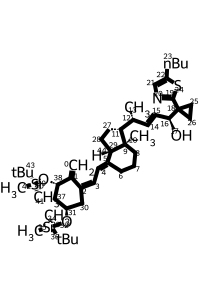 C=C1/C(=C\C=C2/CCC[C@]3(C)[C@@H]([C@H](C)/C=C/[C@H](O)C4(c5ncc(CCCC)s5)CC4)CC[C@@H]23)C[C@@H](O[Si](C)(C)C(C)(C)C)C[C@@H]1O[Si](C)(C)C(C)(C)C